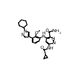 COc1c(Nc2cc(NC(=O)C3CC3)nnc2C(N)=O)cccc1-c1cnn(C2CCCCC2)c1